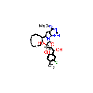 CO/N=C1/N=CNC2C1CC(C1CCCCCCCCC1)N2[C@@H]1O[C@H]([C@H](O)c2ccc(C(F)(F)F)c(F)c2)[C@@H](O)[C@H]1O